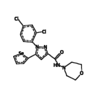 O=C(NN1CCOCC1)c1cc(-c2ccc[se]2)n(-c2ccc(Cl)cc2Cl)n1